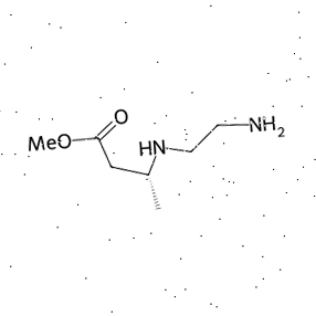 COC(=O)C[C@@H](C)NCCN